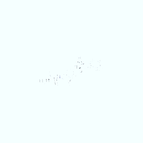 NC(=S)N/N=C/c1ccc(N2C[C@@H]3C[C@H]2CN3Cc2ccccc2)cc1Cl